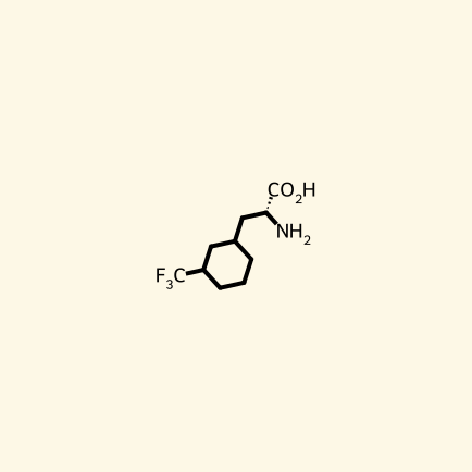 N[C@H](CC1CCCC(C(F)(F)F)C1)C(=O)O